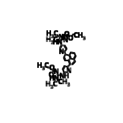 CCOC(=O)N=C(Nc1ccc(-c2ccc3cccc4c3c2C=CC4c2ccc(NC(=NC(=O)OCC)NC(C)C)cn2)nc1)NC(C)C